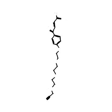 C#CCOCCOCCOCCOc1ccc(C(=O)/C=C/C(N)=O)cc1